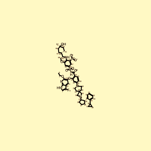 CCOc1nc2[nH]cc(F)c2cc1Oc1cc(N2CCC3(CC2)CN(C2CCC[C@H]2c2ccccc2C2CC2)C3)ccc1C(=O)NS(=O)(=O)c1cc2c(c([N+](=O)[O-])c1)N[C@@H]([C@H]1CC[C@](C)(O)CC1)CO2